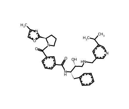 Cc1coc([C@H]2CCCN2C(=O)c2cccc(C(=O)N[C@@H](Cc3ccccc3)[C@H](O)CNCc3cncc(C(C)C)c3)c2)n1